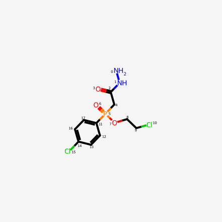 NNC(=O)CP(=O)(OCCCl)c1ccc(Cl)cc1